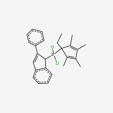 CC[C]1([Zr]([Cl])([Cl])[CH]2C(c3ccccc3)=Cc3ccccc32)C(C)=C(C)C(C)=C1C